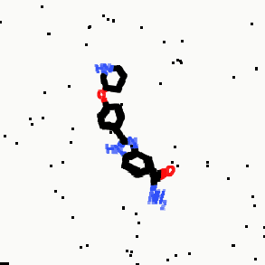 NC(=O)c1ccc2[nH]c(-c3ccc(OC4CCCNC4)cc3)nc2c1